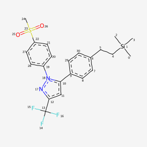 C[Si](C)(C)CCc1ccc(-c2cc(C(F)(F)F)nn2-c2ccc(S(C)(=O)=O)cc2)cc1